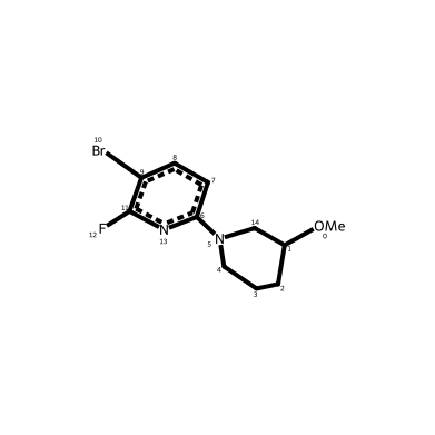 COC1CCCN(c2ccc(Br)c(F)n2)C1